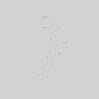 Cc1ccc(Nc2nccc(Nc3n[nH]c4ncc(F)cc34)n2)cc1S(=O)(=O)C(C)C